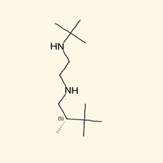 C[C@H](CNCCNC(C)(C)C)C(C)(C)C